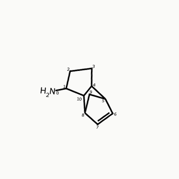 NC1CCC2C3C=CC(C3)C12